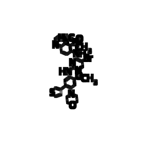 COc1cc(N2CCOCC2)c(-c2ccsc2)cc1Nc1ncc(Br)c(Nc2ccc3nccnc3c2P(C)(C)=O)n1